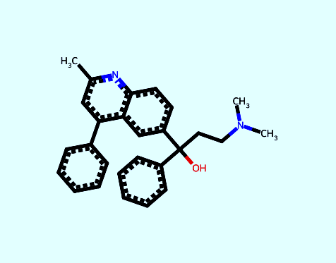 Cc1cc(-c2ccccc2)c2cc(C(O)(CCN(C)C)c3ccccc3)ccc2n1